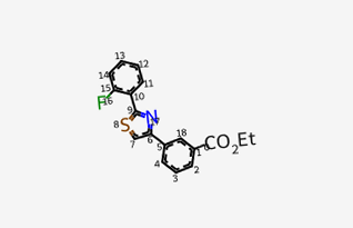 CCOC(=O)c1cccc(-c2csc(-c3ccccc3F)n2)c1